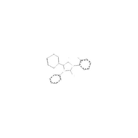 Cc1ccccc1N1C(C(C)(C)C)N(c2ccccc2)C(C2CCCCC2)[C@@H]1C